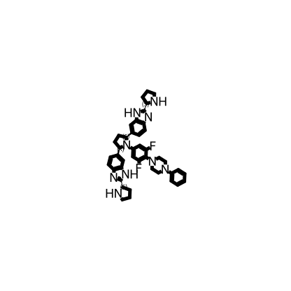 Fc1cc(N2[C@@H](c3ccc4nc([C@@H]5CCCN5)[nH]c4c3)CC[C@H]2c2ccc3nc([C@@H]4CCCN4)[nH]c3c2)cc(F)c1N1CCN(c2ccccc2)CC1